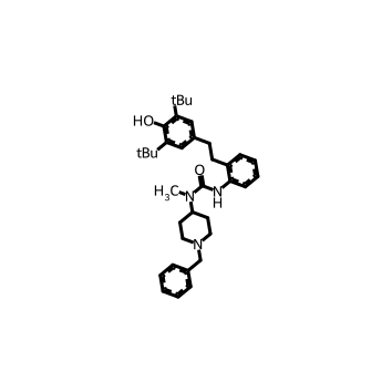 CN(C(=O)Nc1ccccc1CCc1cc(C(C)(C)C)c(O)c(C(C)(C)C)c1)C1CCN(Cc2ccccc2)CC1